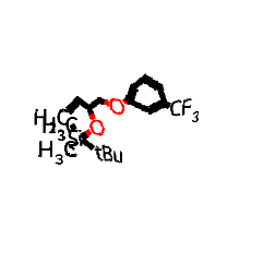 C=CC(COc1cccc(C(F)(F)F)c1)O[Si](C)(C)C(C)(C)C